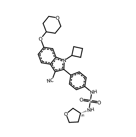 N#Cc1c(-c2ccc(NS(=O)(=O)N[C@@H]3CCOC3)cc2)n(C2CCC2)c2cc(OC3CCOCC3)ccc12